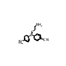 N#Cc1ccc(B(SCCN)c2ccc(C#N)cc2)cc1